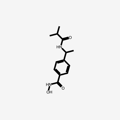 CC(C)C(=O)NC(C)c1ccc(C(=O)NO)cc1